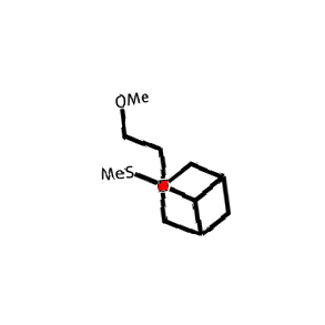 COCCOC1C2CC1CN(SC)C2